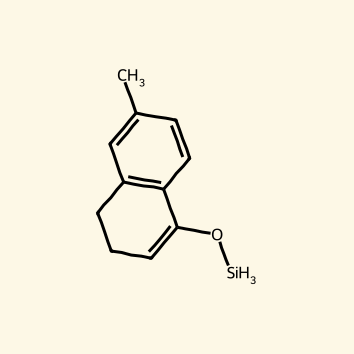 Cc1ccc2c(c1)CCC=C2O[SiH3]